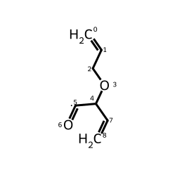 C=CCOC([C]=O)C=C